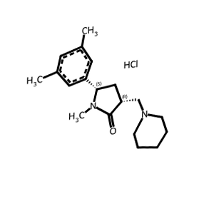 Cc1cc(C)cc([C@@H]2C[C@H](CN3CCCCC3)C(=O)N2C)c1.Cl